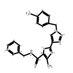 Cc1nc(-c2cn(Cc3ccc(C(F)(F)F)cc3)nn2)sc1C(=O)NCc1cccnc1